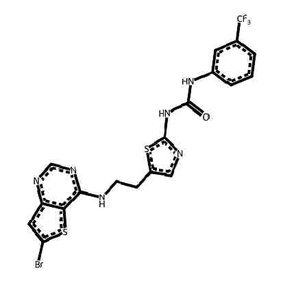 O=C(Nc1cccc(C(F)(F)F)c1)Nc1ncc(CCNc2ncnc3cc(Br)sc23)s1